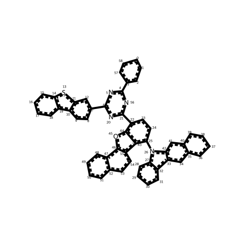 c1ccc(-c2nc(-c3ccc4c(c3)sc3ccccc34)nc(-c3ccc(-n4c5ccccc5c5cc6ccccc6cc54)c4c3oc3c5ccccc5ccc34)n2)cc1